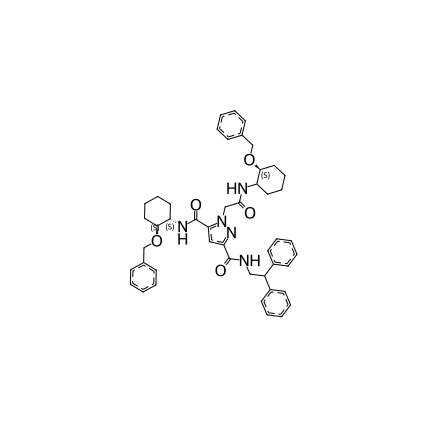 O=C(Cn1nc(C(=O)NCC(c2ccccc2)c2ccccc2)cc1C(=O)N[C@H]1CCCC[C@@H]1OCc1ccccc1)NC1CCCC[C@@H]1OCc1ccccc1